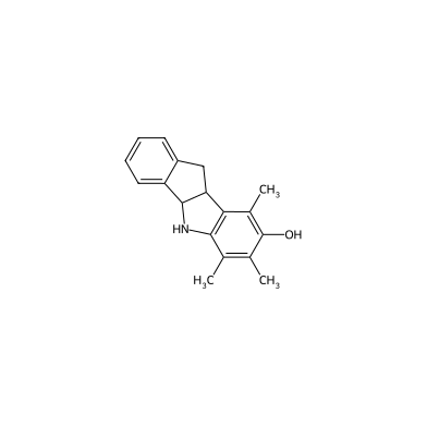 Cc1c(C)c2c(c(C)c1O)C1Cc3ccccc3C1N2